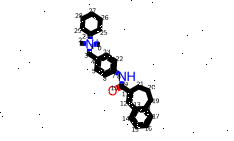 C[N+](C)(Cc1ccc(NC(=O)C2=Cc3ccccc3CCC2)cc1)C1CCCCC1